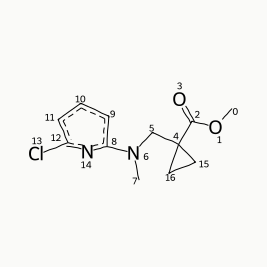 COC(=O)C1(CN(C)c2cccc(Cl)n2)CC1